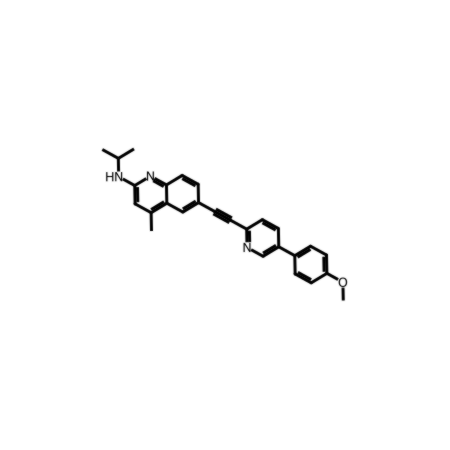 COc1ccc(-c2ccc(C#Cc3ccc4nc(NC(C)C)cc(C)c4c3)nc2)cc1